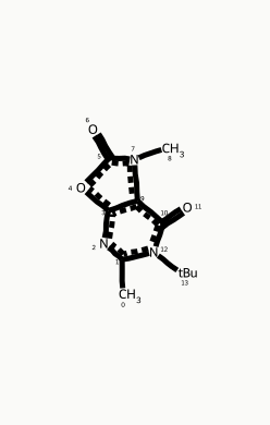 Cc1nc2oc(=O)n(C)c2c(=O)n1C(C)(C)C